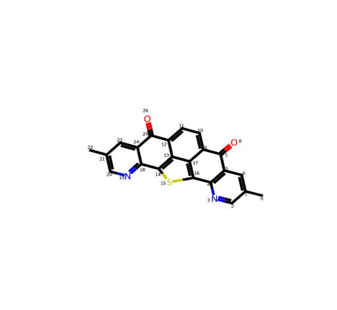 Cc1cnc2c(c1)C(=O)c1ccc3c4c(sc-2c14)-c1ncc(C)cc1C3=O